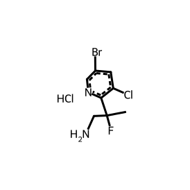 CC(F)(CN)c1ncc(Br)cc1Cl.Cl